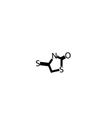 O=C1[N]C(=S)CS1